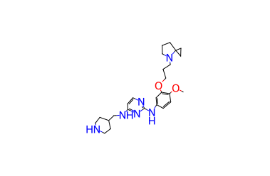 COc1ccc(Nc2nccc(NCC3CCNCC3)n2)cc1OCCCN1CCCC12CC2